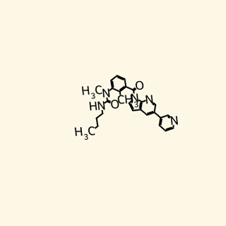 CCCCNC(=O)N(C)c1cccc(C(=O)n2ccc3cc(-c4cccnc4)cnc32)c1C